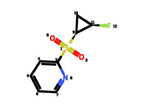 O=S(=O)(c1ccccn1)[C@@H]1C[C@H]1F